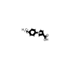 COc1ccc(-n2ccc(C(=O)O)c2)cc1